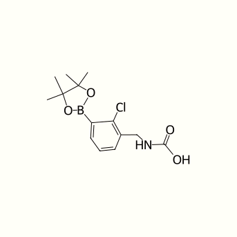 CC1(C)OB(c2cccc(CNC(=O)O)c2Cl)OC1(C)C